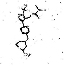 [2H]C([2H])([2H])n1nnc(-c2ccc(O[C@H]3CCC[C@H](C(=O)O)C3)cn2)c1COC(=O)N(C)CCCC